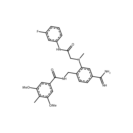 COc1cc(C(=O)NCc2ccc(C(=N)N)cc2N(C)CC(=O)Nc2cccc(F)c2)cc(OC)c1C